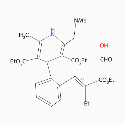 CCOC(=O)C1=C(C)NC(CNC)=C(C(=O)OCC)C1c1ccccc1/C=C(\CC)C(=O)OCC.O=CO